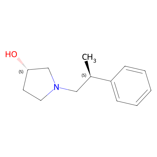 C[C@H](CN1CC[C@H](O)C1)c1ccccc1